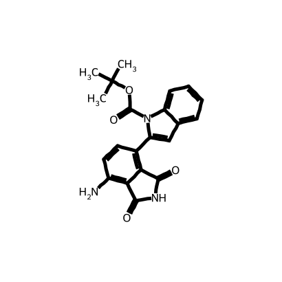 CC(C)(C)OC(=O)n1c(-c2ccc(N)c3c2C(=O)NC3=O)cc2ccccc21